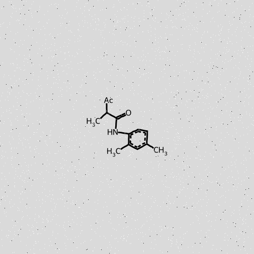 CC(=O)C(C)C(=O)Nc1ccc(C)cc1C